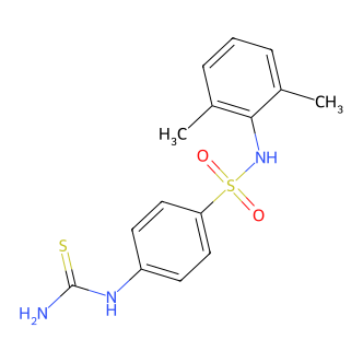 Cc1cccc(C)c1NS(=O)(=O)c1ccc(NC(N)=S)cc1